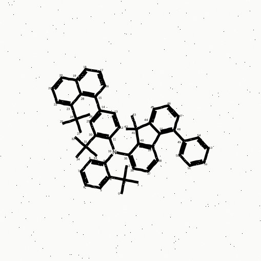 CC(C)(C)c1ccccc1N(c1ccc(-c2cccc3cccc(C(C)(C)C)c23)cc1C(C)(C)C)c1cccc2c1C(C)(C)c1cccc(-c3ccccc3)c1-2